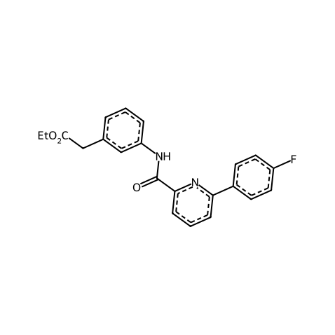 CCOC(=O)Cc1cccc(NC(=O)c2cccc(-c3ccc(F)cc3)n2)c1